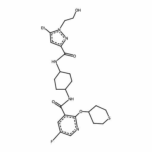 CCc1cc(C(=O)NC2CCC(NC(=O)c3cc(F)cnc3OC3CCSCC3)CC2)nn1CCO